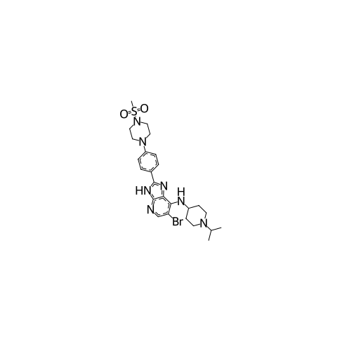 CC(C)N1CCC(Nc2c(Br)cnc3[nH]c(-c4ccc(N5CCN(S(C)(=O)=O)CC5)cc4)nc23)CC1